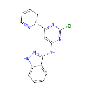 Clc1nc(Nc2n[nH]c3ccccc23)cc(-c2ccccn2)n1